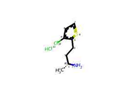 C[C@@H](N)CCc1sccc1Cl.Cl